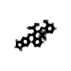 O=C(O)C1=C(Sc2ccc3c(c2)OCO3)c2ccccc2S(=O)(=O)N1Cc1ccccc1Cl